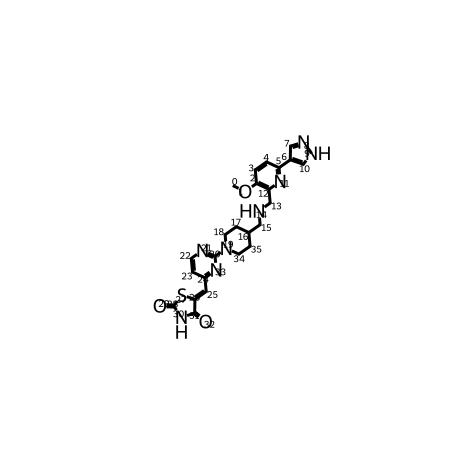 COc1ccc(-c2cn[nH]c2)nc1CNCC1CCN(c2nccc(/C=C3\SC(=O)NC3=O)n2)CC1